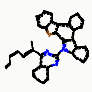 C=C/C=C\C=C(/C)c1nc(-n2c3ccccc3c3c4ccccc4c4c5ccccc5sc4c32)nc2ccccc12